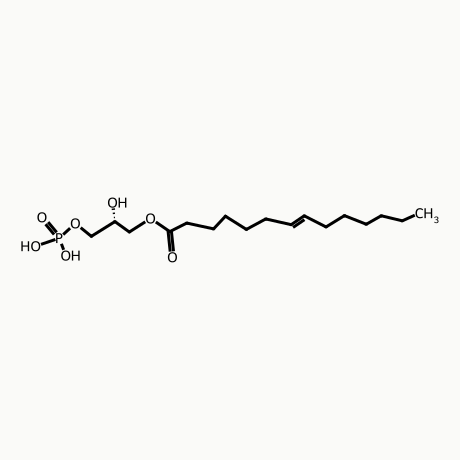 CCCCCCC=CCCCCCC(=O)OC[C@@H](O)COP(=O)(O)O